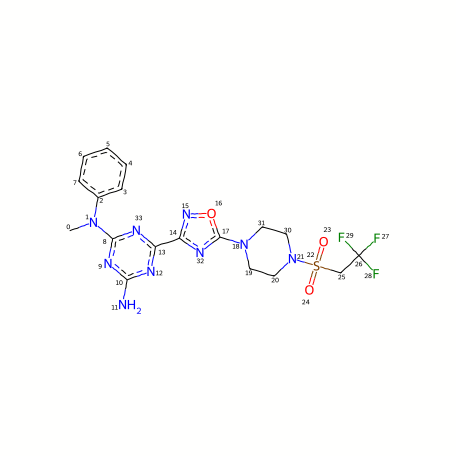 CN(c1ccccc1)c1nc(N)nc(-c2noc(N3CCN(S(=O)(=O)CC(F)(F)F)CC3)n2)n1